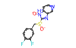 [O-][NH+]1C([S+]([O-])Cc2ccc(F)c(F)c2)=Nc2cnccc21